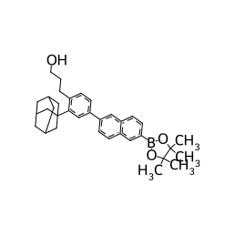 CC1(C)OB(c2ccc3cc(-c4ccc(CCCO)c(C56CC7CC(CC(C7)C5)C6)c4)ccc3c2)OC1(C)C